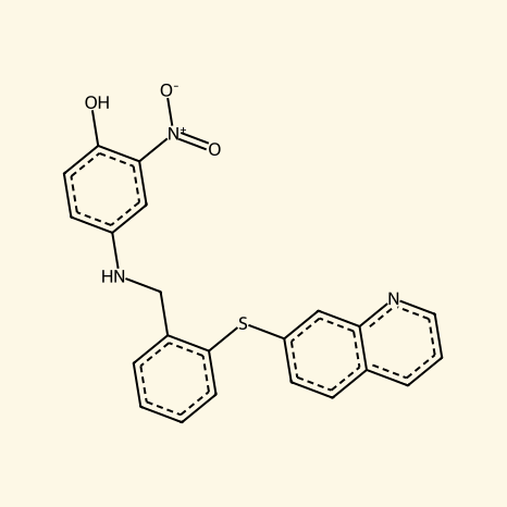 O=[N+]([O-])c1cc(NCc2ccccc2Sc2ccc3cccnc3c2)ccc1O